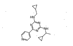 CC(Nc1nc(NCC2CC2)nc(-c2ccncc2)n1)C1CC1